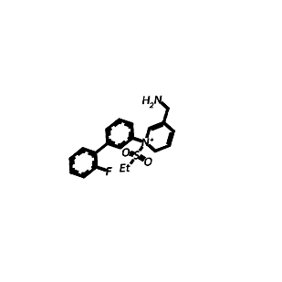 CCS(=O)(=O)[N+]1(c2cccc(-c3ccccc3F)c2)C=C(CN)C=CC1